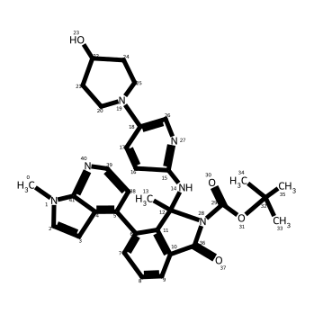 Cn1ccc2c(-c3cccc4c3C(C)(Nc3ccc(N5CCC(O)CC5)cn3)N(C(=O)OC(C)(C)C)C4=O)ccnc21